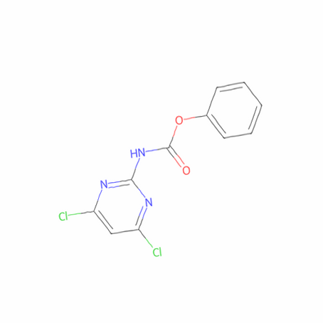 O=C(Nc1nc(Cl)cc(Cl)n1)Oc1ccccc1